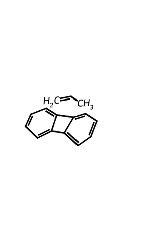 C=CC.c1ccc2c(c1)-c1ccccc1-2